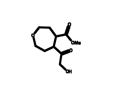 COC(=O)C1CCOCCC1C(=O)CO